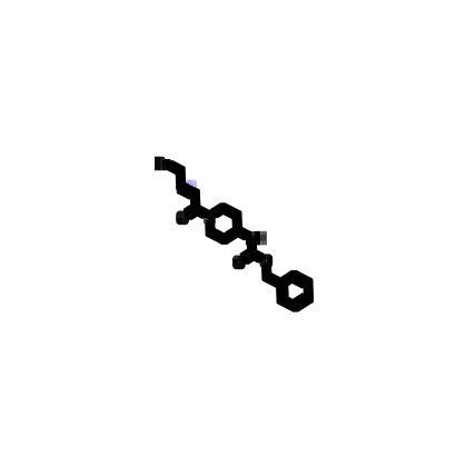 O=C(NC1CCN(C(=O)/C=C/CBr)CC1)OCc1ccccc1